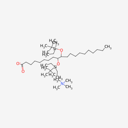 CCCCCCCCCCC(O[Si](CC)(CC)C(C)(C)C)C(CCCCCCCC(=O)[O-])O[Si](CC)(CC)C(C)(C)C.C[N+](C)(C)C